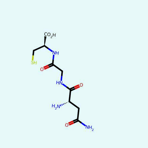 NC(=O)C[C@H](N)C(=O)NCC(=O)N[C@@H](CS)C(=O)O